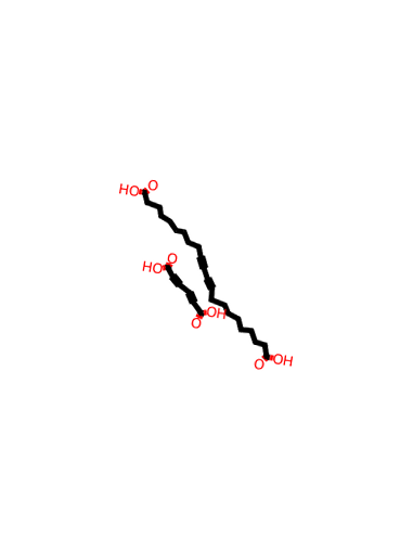 O=C(O)C#CC#CC(=O)O.O=C(O)CCCCCCCCC#CC#CCCCCCCCCC(=O)O